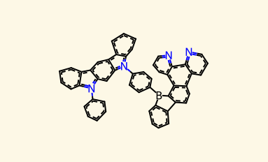 c1ccc(-n2c3ccccc3c3cc4c5ccccc5n(-c5ccc(B6c7ccccc7-c7ccc8c9cccnc9c9ncccc9c8c76)cc5)c4cc32)cc1